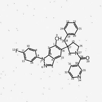 Cc1cc2c(cnn2-c2ccc(F)cc2)cc1C1(Cc2ccccc2)CCN(C(=O)c2cccnc2)C1